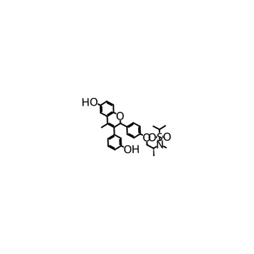 CC1=C(c2cccc(O)c2)C(c2ccc(OC[C@H](C)N(C)S(=O)(=O)C(C)C)cc2)Oc2ccc(O)cc21